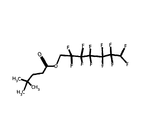 CC(C)(C)CCC(=O)OCC(F)(F)C(F)(F)C(F)(F)C(F)(F)C(F)(F)C(F)F